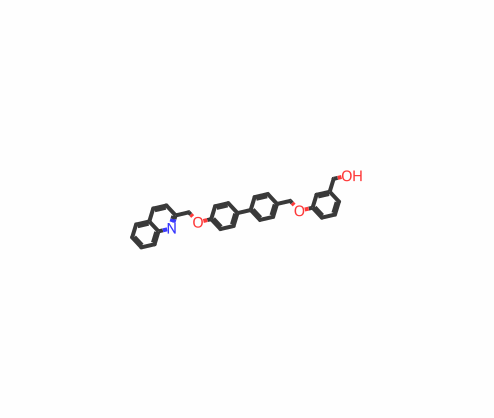 OCc1cccc(OCc2ccc(-c3ccc(OCc4ccc5ccccc5n4)cc3)cc2)c1